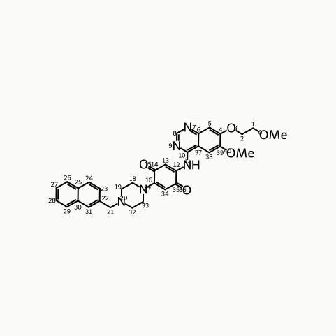 COCCOc1cc2ncnc(NC3=CC(=O)C(N4CCN(Cc5ccc6ccccc6c5)CC4)=CC3=O)c2cc1OC